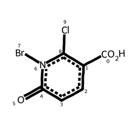 O=C(O)c1ccc(=O)n(Br)c1Cl